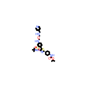 CC(C)OC(=O)N[C@H]1CC[C@H](c2ncc(-c3ccc(NCOCNCc4ccncc4)cc3S(=O)(=O)NC(C)(C)C)s2)CC1